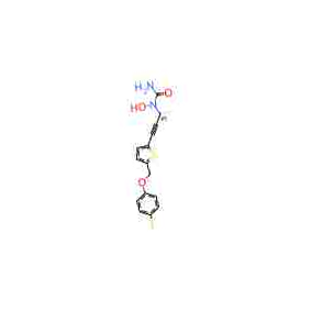 C[C@H](C#Cc1ccc(COc2ccc(F)cc2)s1)N(O)C(N)=O